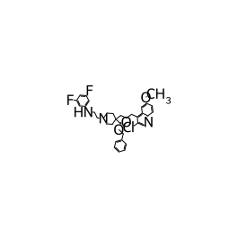 COc1ccc2ncc(Cl)c(CCCC3(C(=O)OCc4ccccc4)CCN(CCNc4cc(F)cc(F)c4)CC3)c2c1